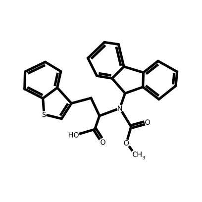 COC(=O)N(C(Cc1csc2ccccc12)C(=O)O)C1c2ccccc2-c2ccccc21